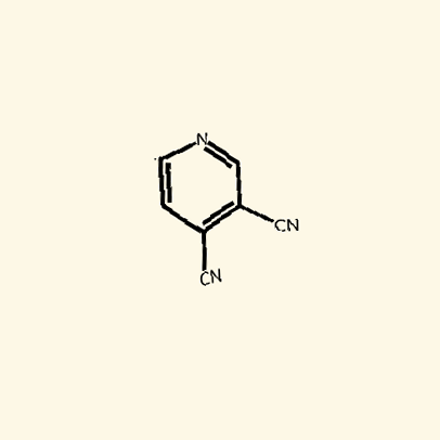 N#Cc1c[c]ncc1C#N